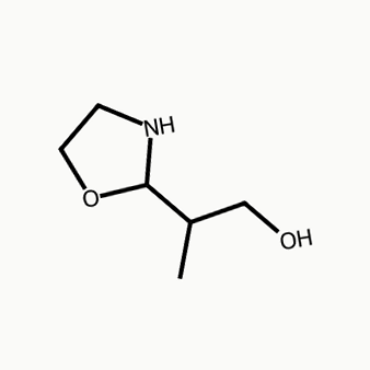 CC(CO)C1NCCO1